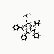 CC(=O)OCC1O[C@H](OC(=N)C(Cl)(Cl)Cl)C(OC(=O)c2ccccc2)C(OC(=O)c2ccccc2)[C@@H]1OC(=O)c1ccccc1